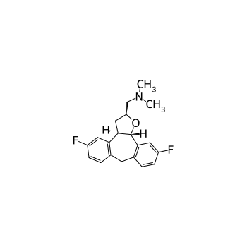 CN(C)C[C@@H]1C[C@@H]2c3cc(F)ccc3Cc3ccc(F)cc3[C@H]2O1